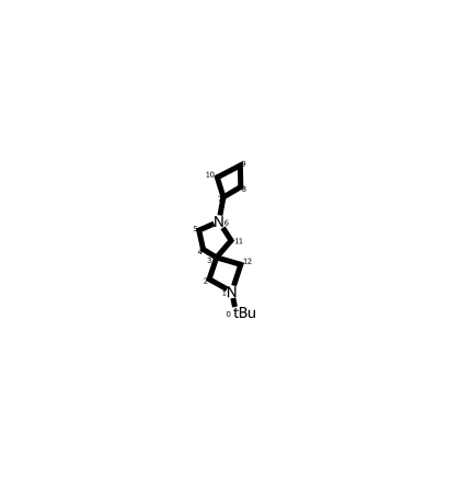 CC(C)(C)N1CC2(CCN(C3CCC3)C2)C1